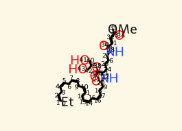 CC/C=C\C/C=C\C/C=C\C/C=C\C/C=C\C/C=C\CCC(=O)NC(CCCCNC(=O)/C=C/C(=O)OC)C(=O)OC(CO)CO